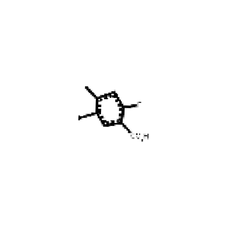 Cc1cc(F)c(C(=O)O)cc1I